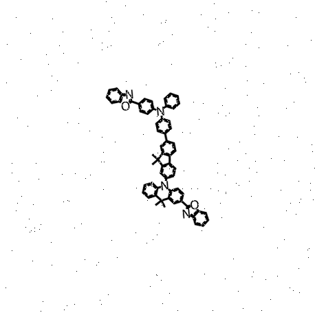 CC1(C)c2cc(-c3ccc(N(c4ccccc4)c4ccc(-c5nc6ccccc6o5)cc4)cc3)ccc2-c2ccc(N3c4ccccc4C(C)(C)c4cc(-c5nc6ccccc6o5)ccc43)cc21